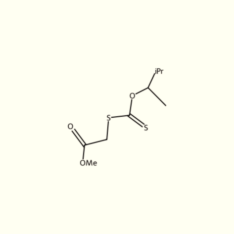 COC(=O)CSC(=S)OC(C)C(C)C